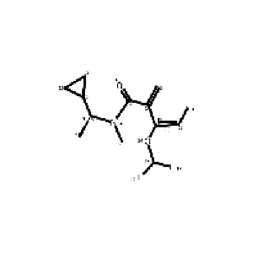 C=C(C(=O)N(C)[C@@H](C)C1CC1)/C(=C\C)OC(F)F